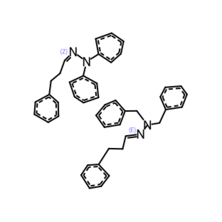 C(/CCc1ccccc1)=N/N(c1ccccc1)c1ccccc1.C(/CCc1ccccc1)=N\N(Cc1ccccc1)Cc1ccccc1